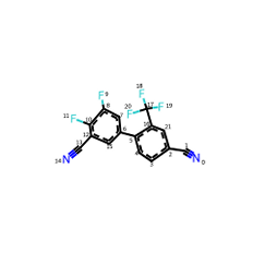 N#Cc1ccc(-c2cc(F)c(F)c(C#N)c2)c(C(F)(F)F)c1